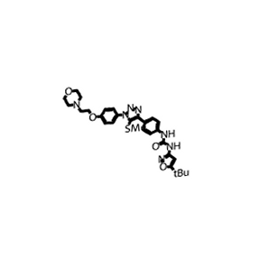 CSc1c(-c2ccc(NC(=O)Nc3cc(C(C)(C)C)on3)cc2)nnn1-c1ccc(OCCN2CCOCC2)cc1